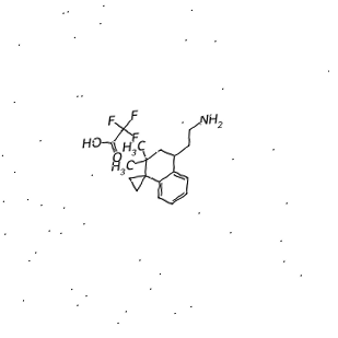 CC1(C)CC(CCN)c2ccccc2C12CC2.O=C(O)C(F)(F)F